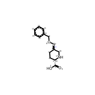 O=C(O)[C@@H]1CC/C(=N\OCc2ccccc2)CN1